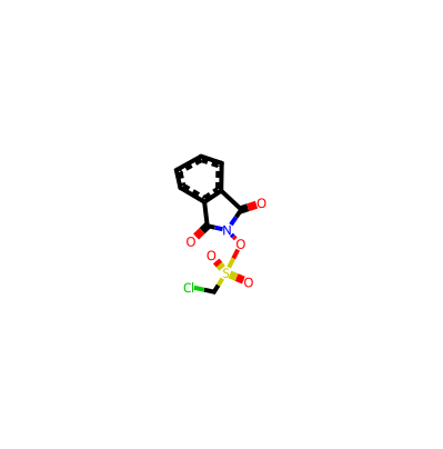 O=C1c2ccccc2C(=O)N1OS(=O)(=O)CCl